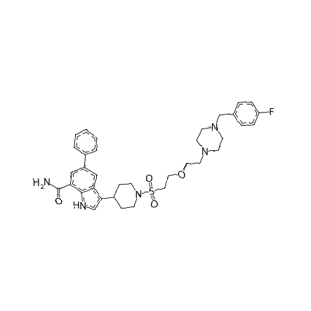 NC(=O)c1cc(-c2ccccc2)cc2c(C3CCN(S(=O)(=O)CCOCCN4CCN(Cc5ccc(F)cc5)CC4)CC3)c[nH]c12